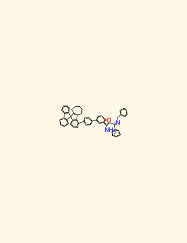 Nc1c(/C(=N\Cc2ccccc2)c2ccccc2)oc2ccc(-c3ccc(-c4cccc5c4C4=C(CC=CC=C4)C54c5ccccc5-c5ccccc54)cc3)cc12